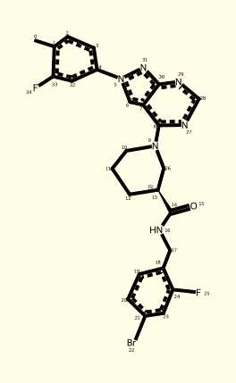 Cc1ccc(-n2cc3c(N4CCC[C@H](C(=O)NCc5ccc(Br)cc5F)C4)ncnc3n2)cc1F